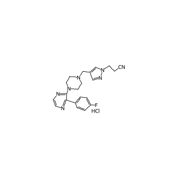 Cl.N#CCCn1cc(CN2CCN(c3nccnc3-c3ccc(F)cc3)CC2)cn1